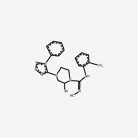 Cc1ccccc1N/C(=N/C#N)N1CCN(c2nnnn2-c2ccccc2)CC1C(C)C